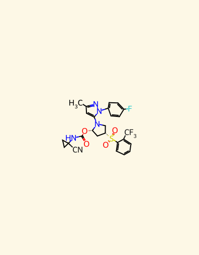 Cc1cc(N2C[C@H](S(=O)(=O)c3ccccc3C(F)(F)F)C[C@@H]2OC(=O)NC2(C#N)CC2)n(-c2ccc(F)cc2)n1